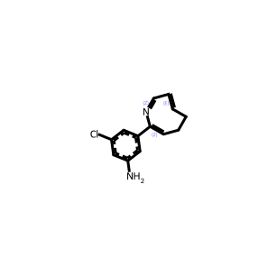 Nc1cc(Cl)cc(C2=C/CC/C=C/C=N\2)c1